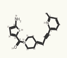 Cc1cccc(C#CC=C2CCN(C(=O)c3ccc(N)s3)CC2)n1